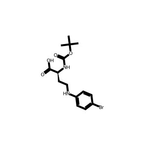 CC(C)(C)OC(=O)N[C@@H](CCNc1ccc(Br)cc1)C(=O)O